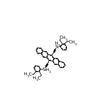 CCc1cccc([SiH2]C#Cc2c3cc4ccccc4cc3c(C#C[SiH2]c3cccc(CC)c3CC)c3cc4ccccc4cc23)c1CC